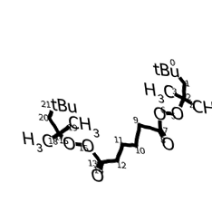 CC(C)(C)CC(C)(C)OOC(=O)CCCCC(=O)OOC(C)(C)CC(C)(C)C